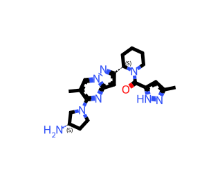 Cc1cc(C(=O)N2CCCC[C@H]2c2cc3nc(N4CC[C@H](N)C4)c(C)cn3n2)[nH]n1